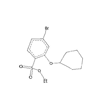 CCOS(=O)(=O)c1ccc(Br)cc1OC1CCCCC1